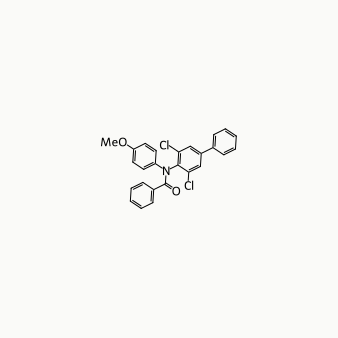 COc1ccc(N(C(=O)c2ccccc2)c2c(Cl)cc(-c3ccccc3)cc2Cl)cc1